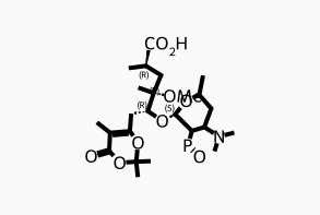 CO[C@](C)(C[C@@H](C)C(=O)O)[C@@H](CC1=C(C)C(=O)OC(C)(C)O1)O[C@@H]1OC(C)CC(N(C)C)C1P=O